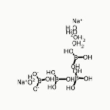 O.O.O.O.O.OB(O)O.OB(O)O.OB(O)O.[Na+].[Na+].[O-]B([O-])O